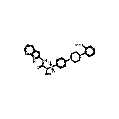 CCCCN(C(=O)Nc1cc2cccnc2[nH]1)S(=O)(=O)c1ccc(N2CCN(c3ccccc3OC)CC2)cc1